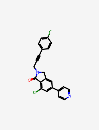 O=C1c2c(Cl)cc(-c3ccncc3)cc2CN1CC#Cc1ccc(Cl)cc1